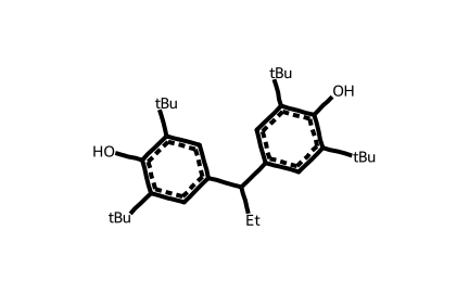 CCC(c1cc(C(C)(C)C)c(O)c(C(C)(C)C)c1)c1cc(C(C)(C)C)c(O)c(C(C)(C)C)c1